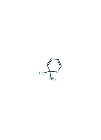 NC1(O)C=CC=CO1